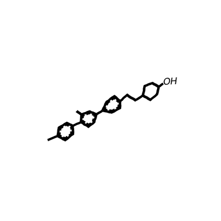 Cc1ccc(-c2ccc(-c3ccc(CCC4CCC(O)CC4)cc3)cc2C)cc1